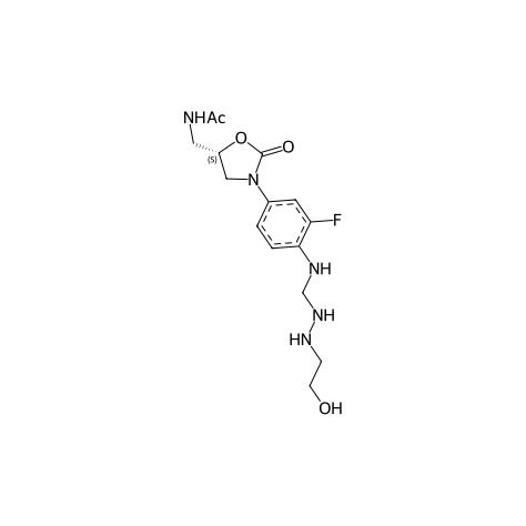 CC(=O)NC[C@H]1CN(c2ccc(NCNNCCO)c(F)c2)C(=O)O1